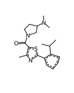 Cc1nc(-c2ccccc2C(C)C)sc1C(=O)N1CCC(N(C)C)C1